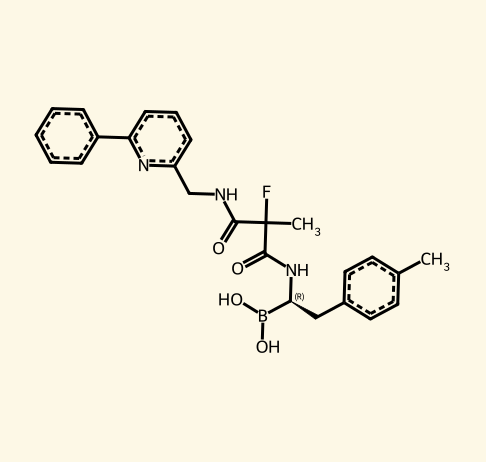 Cc1ccc(C[C@H](NC(=O)C(C)(F)C(=O)NCc2cccc(-c3ccccc3)n2)B(O)O)cc1